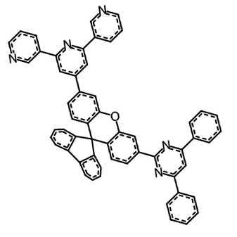 c1ccc(-c2cc(-c3ccccc3)nc(-c3ccc4c(c3)Oc3cc(-c5cc(-c6cccnc6)nc(-c6cccnc6)c5)ccc3C43c4ccccc4-c4ccccc43)n2)cc1